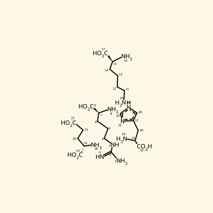 N=C(N)NCCC[C@H](N)C(=O)O.NCCCC[C@H](N)C(=O)O.N[C@@H](CCC(=O)O)C(=O)O.N[C@@H](Cc1c[nH]cn1)C(=O)O